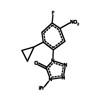 CC(C)n1nnn(-c2cc([N+](=O)[O-])c(F)cc2C2CC2)c1=O